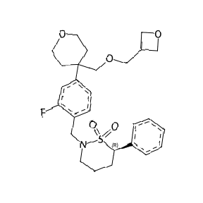 O=S1(=O)[C@@H](c2ccccc2)CCCN1Cc1ccc(C2(COCC3COC3)CCOCC2)cc1F